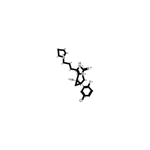 Fc1ccc(Cl)cc1[C@]12C[C@H]1c1c(CCCN3CCCC3)[nH]c(=S)n1C2